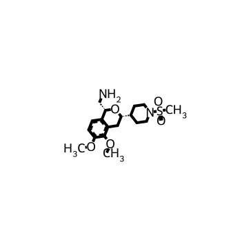 COc1ccc2c(c1OC)C[C@@H](C1CCN(S(C)(=O)=O)CC1)O[C@H]2CN